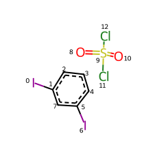 Ic1cccc(I)c1.O=S(=O)(Cl)Cl